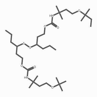 CCCC(CCOC(=O)NC(C)(C)CCOC(C)(C)C)SSC(CCC)CCOC(=O)NC(C)(C)CCOC(C)(C)CC